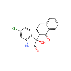 O=C1c2ccccc2CC[C@@H]1[C@]1(O)C(=O)Nc2cc(Cl)ccc21